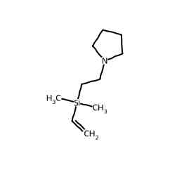 C=C[Si](C)(C)CCN1CCCC1